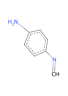 [CH]=Nc1ccc(N)cc1